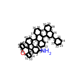 Nc1ccc2c(c1)-c1c(-c3c4ccccc4c(-c4cc(-c5ccccc5)cc5ccccc45)c4ccccc34)cccc1C21c2ccccc2Oc2ccccc21